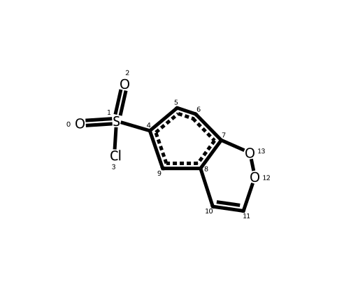 O=S(=O)(Cl)c1ccc2c(c1)C=COO2